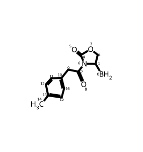 BC1COC(=O)N1C(=O)Cc1ccc(C)cc1